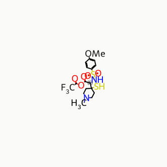 COc1ccc(S(=O)(=O)N[C@@H](C(=O)OC(=O)C(F)(F)F)C2(S)CCN(C)CC2)cc1